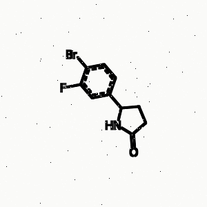 O=C1CCC(c2ccc(Br)c(F)c2)N1